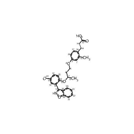 Cc1cc(OCCC(C)Oc2ccc(Cl)cc2-c2noc3ccccc23)ccc1CCC(=O)O